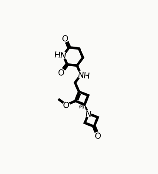 COC1=C(CNC2CCC(=O)NC2=O)C[C@H]1N1CC(=O)C1